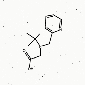 CC(C)(C)N(CC(=O)O)Cc1ccccn1